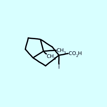 CC1(C)C2CCC1CC(I)(C(=O)O)C2